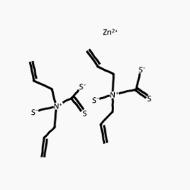 C=CC[N+]([S-])(CC=C)C(=S)[S-].C=CC[N+]([S-])(CC=C)C(=S)[S-].[Zn+2]